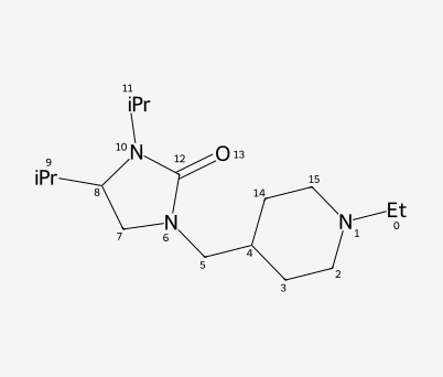 CCN1CCC(CN2CC(C(C)C)N(C(C)C)C2=O)CC1